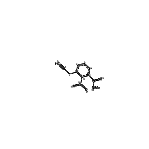 C#CCc1cccc(C(=O)NC(C)=O)c1I(=O)=O